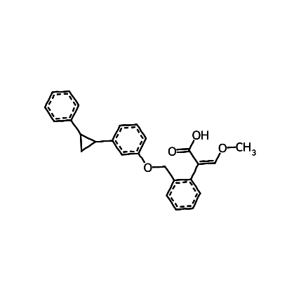 COC=C(C(=O)O)c1ccccc1COc1cccc(C2CC2c2ccccc2)c1